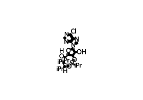 CC(C)[SiH](O[Si](OC1C(O)[C@H](n2cnc3c(Cl)ncnc32)O[C@@H]1CO)(C(C)C)C(C)C)C(C)C